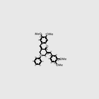 COc1ccc(/C=C2/CN(c3ccccc3)C/C(=C\c3ccc(OC)c(OC)c3)C2=O)cc1OC